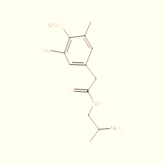 COc1c(C)cc(CC(=O)NCC(C)N)cc1C(C)(C)C